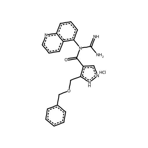 Cl.N=C(N)N(C(=O)c1cn[nH]c1COCc1ccccc1)c1cccc2ncccc12